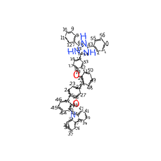 c1ccc(C2NC(c3ccccc3)NC(c3ccc4oc5c(-c6ccc7c(c6)oc6c(-n8c9ccccc9c9ccccc98)cccc67)cccc5c4c3)N2)cc1